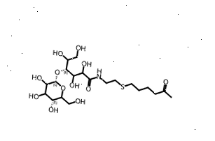 CC(=O)CCCCSCCNC(=O)C(O)C(O)[C@H](O[C@@H]1OC(CO)[C@H](O)C(O)C1O)C(O)CO